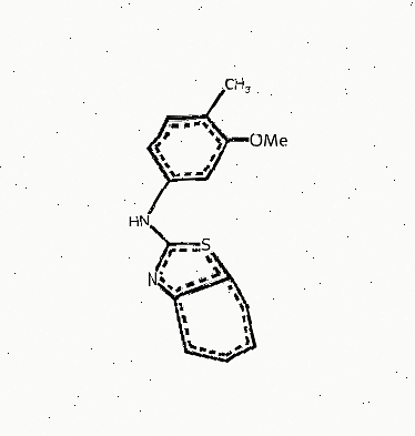 COc1cc(Nc2nc3ccccc3s2)ccc1C